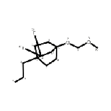 CCCC12CCC(OCOC)(CC1)CC2(F)F